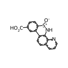 O=C(O)c1ccc2c(c1)-c1ccc3cccnc3c1N[S+]2[O-]